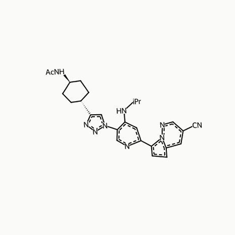 CC(=O)N[C@H]1CC[C@H](c2cn(-c3cnc(-c4ccc5cc(C#N)cnn45)cc3NC(C)C)nn2)CC1